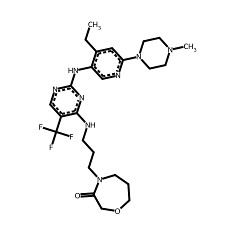 CCc1cc(N2CCN(C)CC2)ncc1Nc1ncc(C(F)(F)F)c(NCCCN2CCCOCC2=O)n1